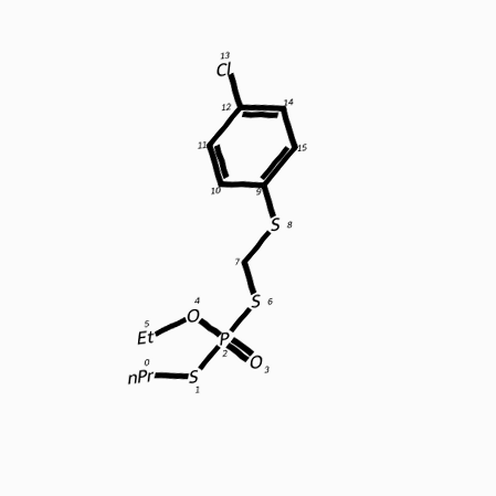 CCCSP(=O)(OCC)SCSc1ccc(Cl)cc1